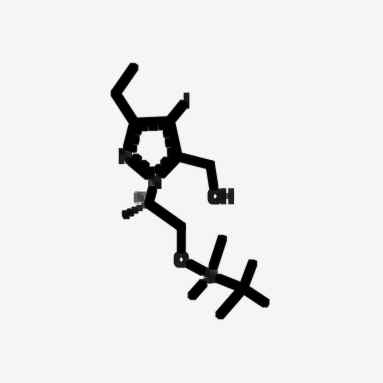 CCc1nn([C@@H](C)CO[Si](C)(C)C(C)(C)C)c(CO)c1I